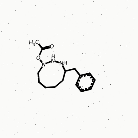 CC(=O)ON1CCCCCC(Cc2ccccc2)NN1